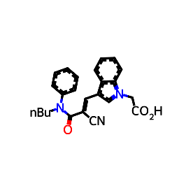 CCCCN(C(=O)/C(C#N)=C/c1cn(CC(=O)O)c2ccccc12)c1ccccc1